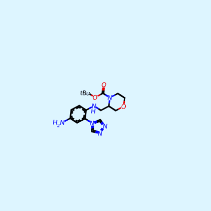 CC(C)(C)OC(=O)N1CCOCC1CNc1ccc(N)cc1-n1cnnc1